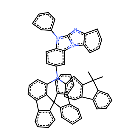 CC1(C)c2ccccc2-c2ccc(N(c3ccc4c(c3)n3c5ccccc5nc3n4-c3ccccc3)c3cccc4c3C3(c5ccccc5-c5ccccc53)c3ccccc3-4)cc21